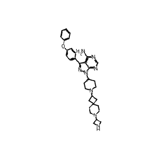 Nc1ncnc2c1c(-c1ccc(Oc3ccccc3)cc1)nn2C1CCN(C2CC3(CCN(C4CNC4)CC3)C2)CC1